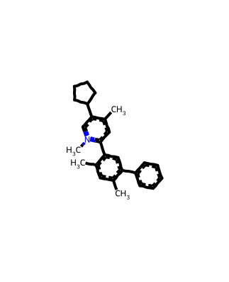 Cc1cc(C)c(-c2cc(C)c(C3CCCC3)c[n+]2C)cc1-c1ccccc1